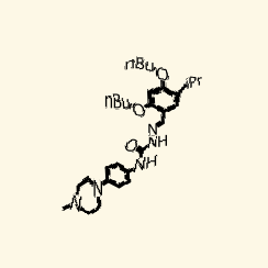 CCCCOc1cc(OCCCC)c(C(C)C)cc1/C=N/NC(=O)Nc1ccc(N2CCN(C)CC2)cc1